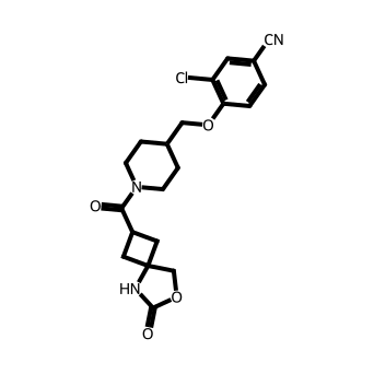 N#Cc1ccc(OCC2CCN(C(=O)C3CC4(COC(=O)N4)C3)CC2)c(Cl)c1